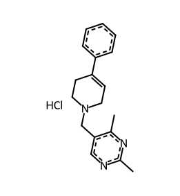 Cc1ncc(CN2CC=C(c3ccccc3)CC2)c(C)n1.Cl